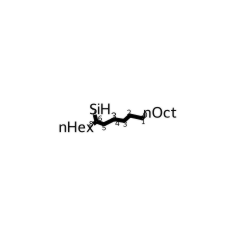 CCCCCCCCCCCCCC([SiH3])CCCCCC